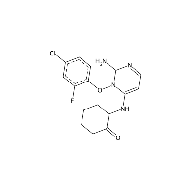 NC1N=CC=C(NC2CCCCC2=O)N1Oc1ccc(Cl)cc1F